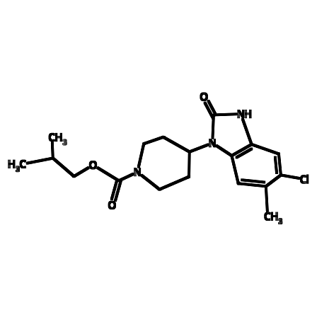 Cc1cc2c(cc1Cl)[nH]c(=O)n2C1CCN(C(=O)OCC(C)C)CC1